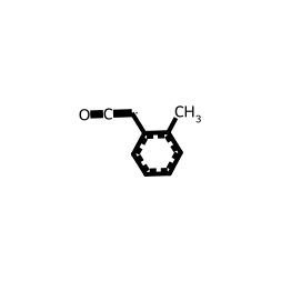 Cc1ccccc1[C]=C=O